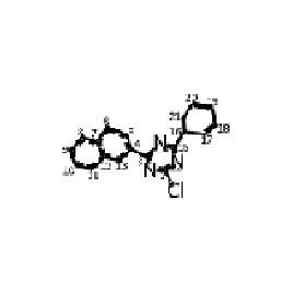 Clc1nc(-c2ccc3ccccc3c2)nc(C2C=CC=CC2)n1